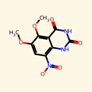 COc1cc([N+](=O)[O-])c2[nH]c(=O)[nH]c(=O)c2c1OC